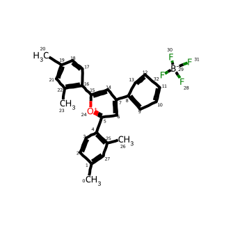 Cc1ccc(-c2cc(-c3ccccc3)cc(-c3ccc(C)cc3C)[o+]2)c(C)c1.F[B-](F)(F)F